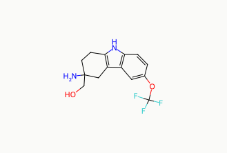 NC1(CO)CCc2[nH]c3ccc(OC(F)(F)F)cc3c2C1